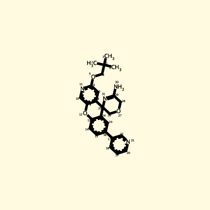 CC(C)(C)COc1cc2c(cn1)Oc1ccc(-c3cccnc3)cc1C21COCC(N)=N1